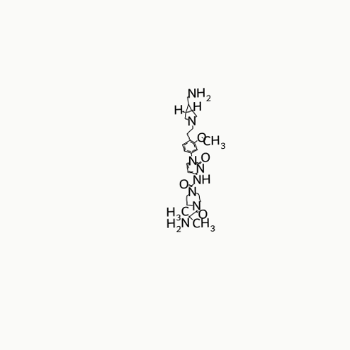 COc1cc(-n2ccc(NC(=O)N3CCN(C(=O)C(C)(C)N)CC3)nc2=O)ccc1CCN1C[C@@H]2C(CN)[C@@H]2C1